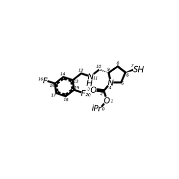 CC(C)OC(=O)N1C[C@H](S)C[C@H]1CNCc1cc(F)ccc1F